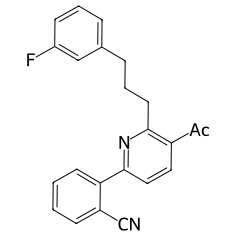 CC(=O)c1ccc(-c2ccccc2C#N)nc1CCCc1cccc(F)c1